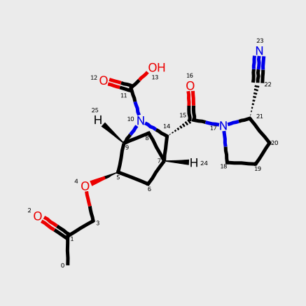 CC(=O)CO[C@@H]1C[C@@H]2C[C@H]1N(C(=O)O)[C@@H]2C(=O)N1CCC[C@H]1C#N